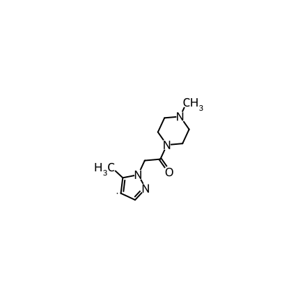 Cc1[c]cnn1CC(=O)N1CCN(C)CC1